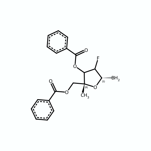 B[C@@H]1O[C@](C)(COC(=O)c2ccccc2)C(OC(=O)c2ccccc2)C1F